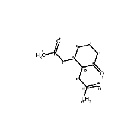 CC(=O)CC1CCCC(=O)C1CC(C)=O